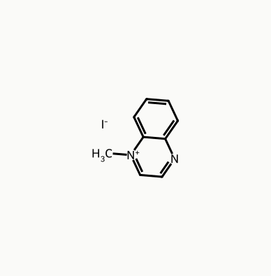 C[n+]1ccnc2ccccc21.[I-]